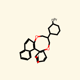 CCCC1CCCC(C2COc3ccc4ccccc4c3-c3c(ccc4ccccc34)OC2)C1